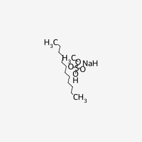 CCCCCCCCCCCC.COS(=O)(=O)O.[NaH]